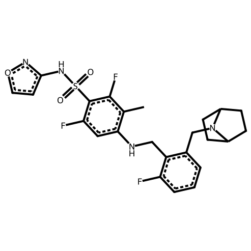 Cc1c(NCc2c(F)cccc2CN2C3CCC2CC3)cc(F)c(S(=O)(=O)Nc2ccon2)c1F